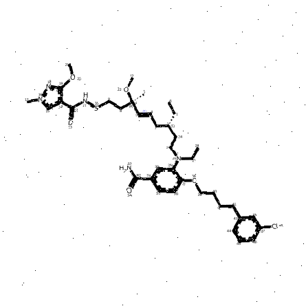 CC[C@@H](C/C=C/[C@@](C)(CCSNC(=O)c1cn(C)nc1OC)OC)CCN(CC)c1cc(C(N)=O)ccc1OCCCCc1cccc(Cl)c1